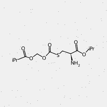 CC(C)OC(=O)[C@@H](N)CSC(=O)OCOC(=O)C(C)C